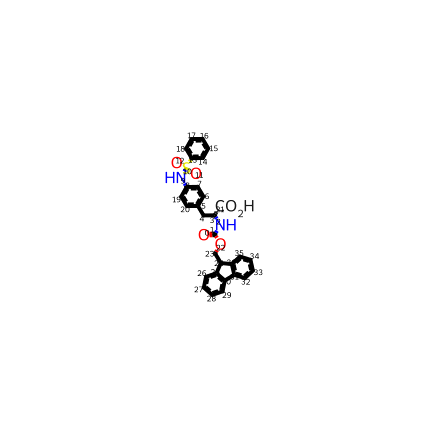 O=C(NC(Cc1ccc(NS(=O)(=O)c2ccccc2)cc1)C(=O)O)OCC1c2ccccc2-c2ccccc21